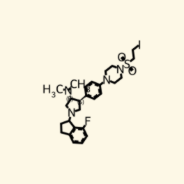 CN(C)[C@H]1CN(C2CCc3cccc(F)c32)C[C@@H]1c1ccc(N2CCN(S(=O)(=O)CCI)CC2)cc1